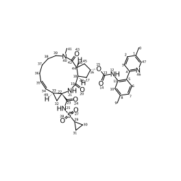 Cc1ccc(-c2ccc(C)cc2NC(=O)O[C@@H]2C[C@H]3C(=O)N[C@]4(C(=O)NS(=O)(=O)C5CC5)C[C@H]4/C=C\CCCCN(C)C(=O)[C@@H]3C2)nc1